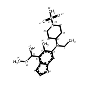 CCN(c1cc2occc2c(C(O)OC)c1C)C1CCN(S(C)(=O)=O)CC1